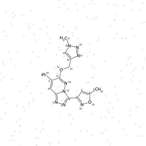 Cc1cc(-c2nnc3cc(C(C)C)c(OCc4cn(C)nn4)nn23)no1